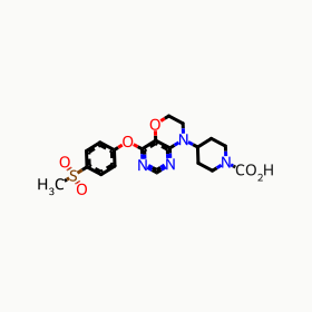 CS(=O)(=O)c1ccc(Oc2ncnc3c2OCCN3C2CCN(C(=O)O)CC2)cc1